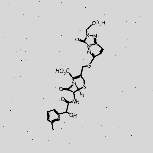 Cc1cccc(C(O)C(=O)NC2C(=O)N3C(C(=O)O)=C(CSc4ccc5nn(CC(=O)O)c(=O)n5n4)CS[C@@H]23)c1